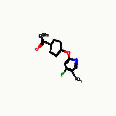 COC(=O)C1CCC(Oc2cc(F)c([N+](=O)[O-])cn2)CC1